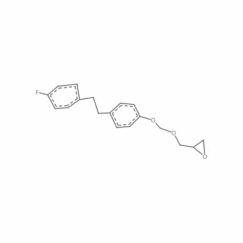 Fc1ccc(CCc2ccc(OCOCC3CO3)cc2)cc1